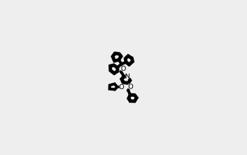 c1ccc(COc2cnc(COC(c3ccccc3)(c3ccccc3)c3ccccc3)cc2OC2CCCC2)cc1